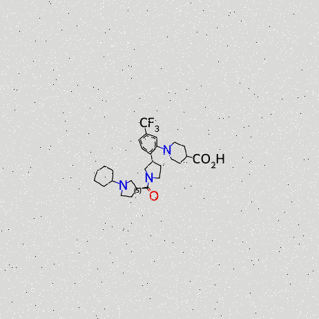 O=C(O)C1CCN(c2cc(C(F)(F)F)ccc2C2CCN(C(=O)[C@H]3CCN(C4CCCCC4)C3)C2)CC1